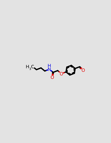 CCCCNC(=O)COc1ccc(C=O)cc1